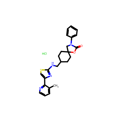 Cc1cccnc1-c1csc(NCC2CCC3(CC2)CN(c2ccccc2)C(=O)O3)n1.Cl